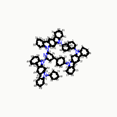 c1ccc(-n2c3ccccc3c3cc4c5ccccc5n(-c5ccc(-c6cc(-n7c8ccccc8c8cc9c%10ccccc%10n(-c%10ccccc%10)c9cc87)nc(-n7c8ccccc8c8cc9c%10ccccc%10n(-c%10ccccc%10)c9cc87)c6)cc5)c4cc32)cc1